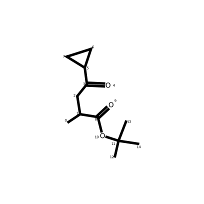 CC(CC(=O)C1CC1)C(=O)OC(C)(C)C